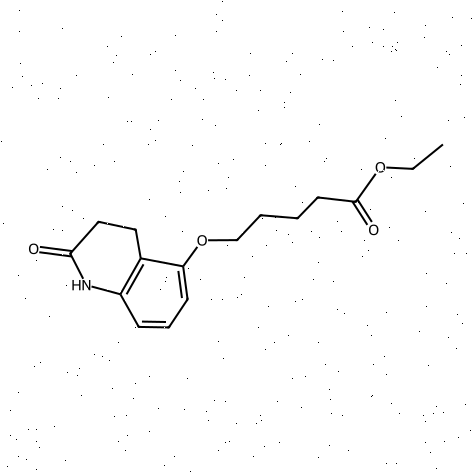 CCOC(=O)CCCCOc1cccc2c1CCC(=O)N2